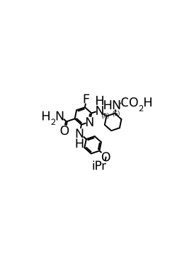 CC(C)Oc1ccc(Nc2nc(N[C@@H]3CCCC[C@@H]3NC(=O)O)c(F)cc2C(N)=O)cc1